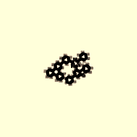 c1ccc(-c2cc(-c3nc(-c4ccccc4)nc(-c4cccc(-c5ccc6c7ccccc7c7ccccc7c6c5)c4)n3)c3c(c2)sc2ccccc23)cc1